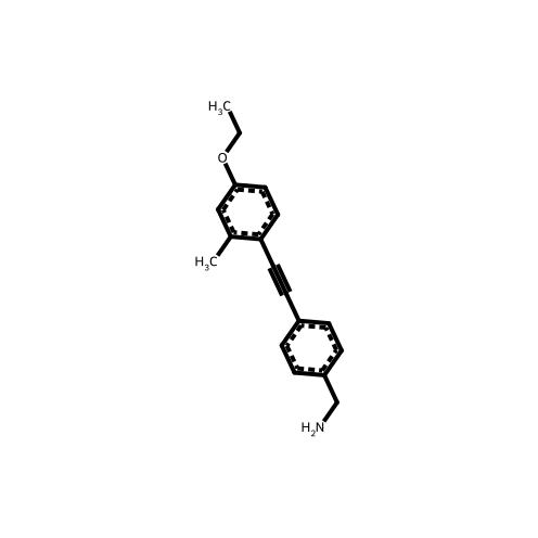 CCOc1ccc(C#Cc2ccc(CN)cc2)c(C)c1